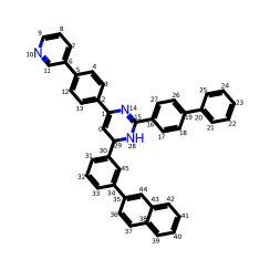 C1=C(c2ccc(-c3cccnc3)cc2)N=C(c2ccc(-c3ccccc3)cc2)NC1c1cccc(-c2ccc3ccccc3c2)c1